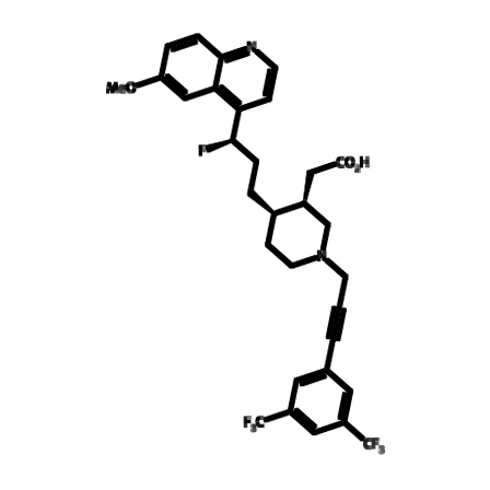 COc1ccc2nccc([C@H](F)CC[C@@H]3CCN(CC#Cc4cc(C(F)(F)F)cc(C(F)(F)F)c4)C[C@@H]3CC(=O)O)c2c1